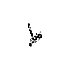 C#CCOCCCCCN1CC(c2c(F)ccc(F)c2F)CC(NC(=O)OC(C)(C)C)C1=O